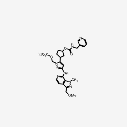 CCOC(=O)OCn1nc(Nc2nccc3c(COC)nn(C)c23)cc1C1CCC(OC(=O)NCc2cccnc2)C1